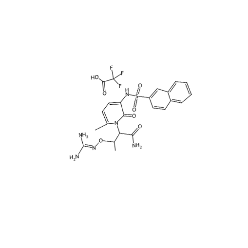 Cc1ccc(NS(=O)(=O)c2ccc3ccccc3c2)c(=O)n1C(C(N)=O)C(C)ON=C(N)N.O=C(O)C(F)(F)F